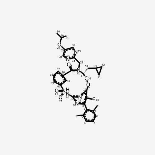 Cc1cccc(C)c1-c1nc2nc(c1F)OC[C@@H](CC1CC1)N(Cc1ncc(OC(C)C)cn1)C(=O)c1cccc(c1)S(=O)(=O)N2